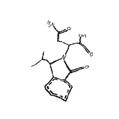 CC(C)C1c2ccccc2C(=O)N1C(CC(N)=O)C(=O)O